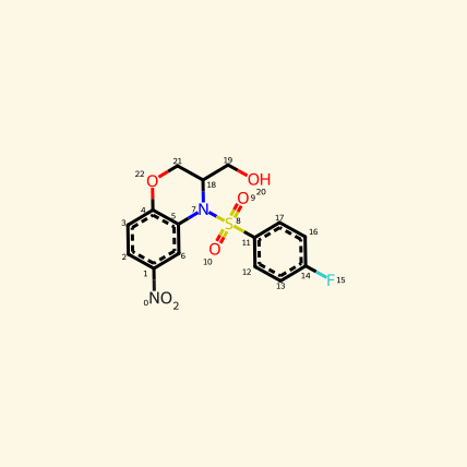 O=[N+]([O-])c1ccc2c(c1)N(S(=O)(=O)c1ccc(F)cc1)C(CO)CO2